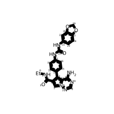 CCNC(=O)c1cn2ncnc(N)c2c1-c1ccc(NC(=O)Nc2ccc3c(c2)OCO3)cc1